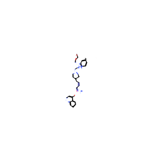 C=N/C(=C\C=C/CC1CCN(Cc2nc3ccc(C=O)cc3n2CC2CCO2)CC1)OCc1ccnc2ccccc12